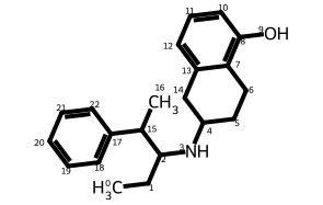 CCC(NC1CCc2c(O)cccc2C1)C(C)c1ccccc1